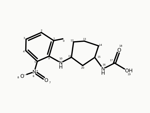 Cc1cccc([N+](=O)[O-])c1NC1CCCC(NC(=O)O)C1